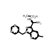 CC(=O)O.N=C(N)c1nn(Cc2cncnc2)c2ncc(F)cc12